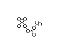 c1ccc(-c2c(-c3ccc(-c4cccc(N(c5ccccc5)c5ccc(-c6cccc7ccccc67)cc5)c4)cc3)c3ccccc3c3ccccc23)cc1